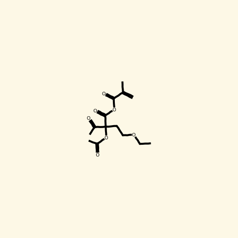 C=C(C)C(=O)OC(=O)C(CCOCC)(OC(C)=O)C(C)=O